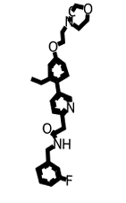 CCc1cc(OCCN2CCOCC2)ccc1-c1ccc(CC(=O)NCc2cccc(F)c2)nc1